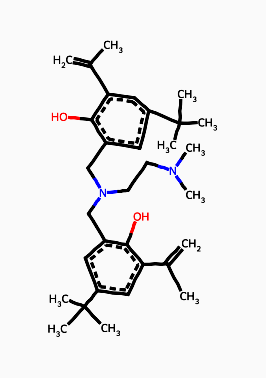 C=C(C)c1cc(C(C)(C)C)cc(CN(CCN(C)C)Cc2cc(C(C)(C)C)cc(C(=C)C)c2O)c1O